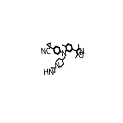 Cc1ccc(-c2c(C)noc2C)cc1N(CC1CCN(C2CNC2)CC1)c1ccc(C2(C#N)CC2)cc1